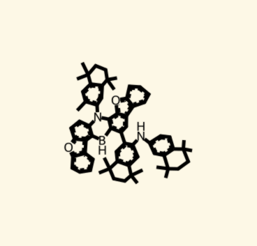 Cc1cc2c(cc1N1c3ccc4oc5ccccc5c4c3Bc3c(-c4cc5c(cc4Nc4ccc6c(c4)C(C)(C)CCC6(C)C)C(C)(C)CCC5(C)C)cc4c(oc5ccccc54)c31)C(C)(C)CCC2(C)C